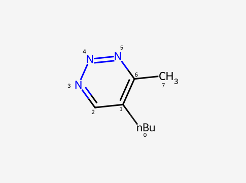 CCCCc1cnnnc1C